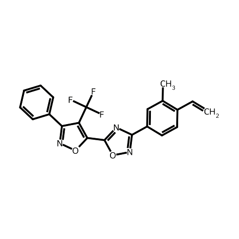 C=Cc1ccc(-c2noc(-c3onc(-c4ccccc4)c3C(F)(F)F)n2)cc1C